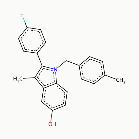 Cc1ccc(Cn2c(-c3ccc(F)cc3)c(C)c3cc(O)ccc32)cc1